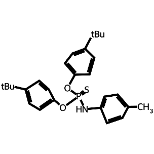 Cc1ccc(NP(=S)(Oc2ccc(C(C)(C)C)cc2)Oc2ccc(C(C)(C)C)cc2)cc1